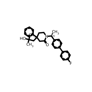 C[C@@H](c1ccc(-c2ccc(F)cc2)cc1)N1CCC(CC(C)(C)O)(c2ccccc2)CC1=O